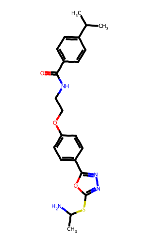 CC(N)Sc1nnc(-c2ccc(OCCNC(=O)c3ccc(C(C)C)cc3)cc2)o1